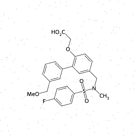 COCc1cccc(-c2cc(CN(C)S(=O)(=O)c3ccc(F)cc3)ccc2OCC(=O)O)c1